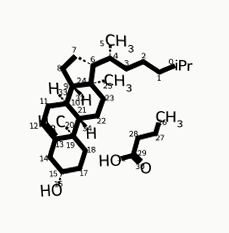 CC(C)CCC[C@@H](C)[C@H]1CC[C@H]2[C@@H]3CC=C4C[C@@H](O)CC[C@]4(C)[C@H]3CC[C@]12C.CCCC(=O)O